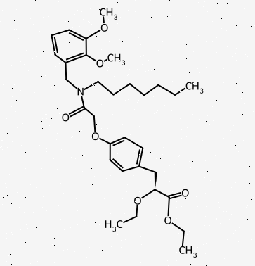 CCCCCCCN(Cc1cccc(OC)c1OC)C(=O)COc1ccc(C[C@H](OCC)C(=O)OCC)cc1